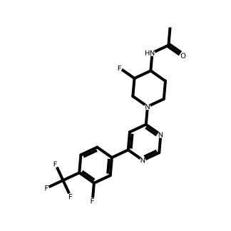 CC(=O)NC1CCN(c2cc(-c3ccc(C(F)(F)F)c(F)c3)ncn2)CC1F